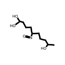 CC(O)CCCC(CCCC(O)O)N=O